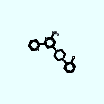 Nc1cc(N2CCN(c3ccccc3Cl)CC2)cc(-c2ccccn2)n1